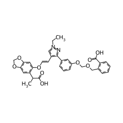 CCn1cc(C=COc2cc3c(cc2C(C)C(=O)O)OCO3)c(-c2cccc(OCOCc3ccccc3C(=O)O)c2)n1